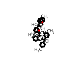 Cc1ccc(C(O)(c2ccc(C)cc2)[C@@H](Cc2ccccc2)NC(=O)C(C)(C)C(=O)N[C@H](Cc2ccccc2)C(O)(c2ccc(C)cc2)c2ccc(C)cc2)cc1